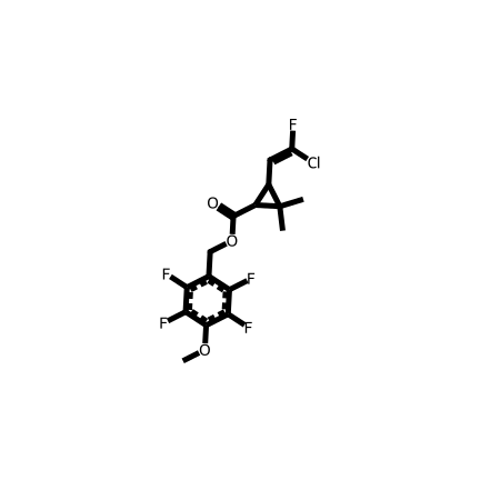 COc1c(F)c(F)c(COC(=O)C2C(C=C(F)Cl)C2(C)C)c(F)c1F